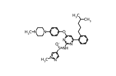 CC(C)CCCc1ccccc1-c1cc(Oc2ccc(N3CCN(C)CC3)cc2)nc(N[S+]([O-])c2cnn(C)c2)n1